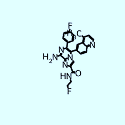 Cc1ccnc2ccc(-c3c(-c4ccc(F)cc4)nc(N)c4nc(C(=O)NCCF)cn34)cc12